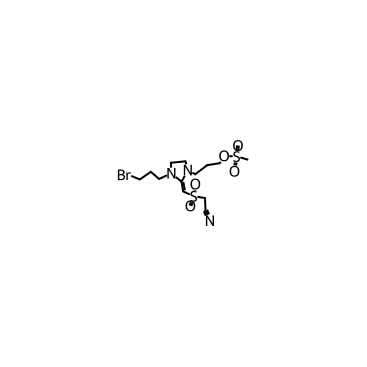 CS(=O)(=O)OCCCN1CCN(CCCBr)/C1=C/S(=O)(=O)CC#N